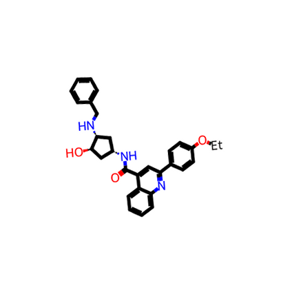 CCOc1ccc(-c2cc(C(=O)N[C@@H]3C[C@@H](O)[C@H](NCc4ccccc4)C3)c3ccccc3n2)cc1